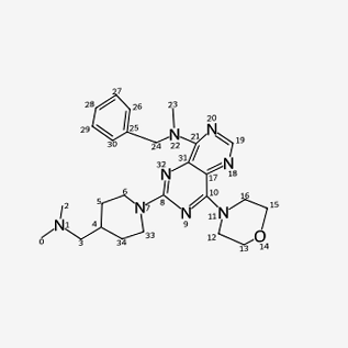 CN(C)CC1CCN(c2nc(N3CCOCC3)c3ncnc(N(C)Cc4ccccc4)c3n2)CC1